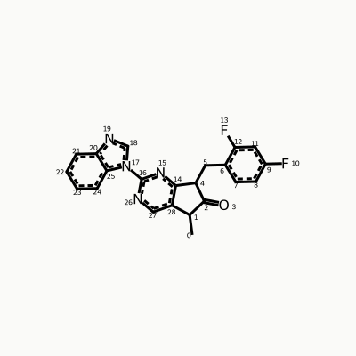 CC1C(=O)C(Cc2ccc(F)cc2F)c2nc(-n3cnc4ccccc43)ncc21